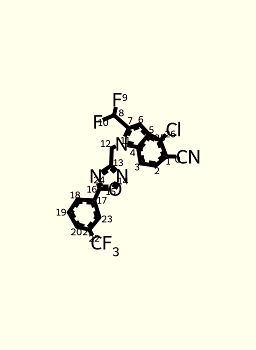 N#Cc1ccc2c(cc(C(F)F)n2Cc2noc(-c3cccc(C(F)(F)F)c3)n2)c1Cl